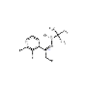 CC(C)(C)[S@@+]([O-])/N=C(/CF)c1cccc(F)c1F